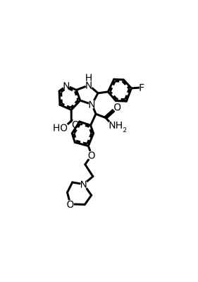 NC(=O)C(c1cccc(OCCN2CCOCC2)c1)N1c2c(C(=O)O)ccnc2NC1c1ccc(F)cc1